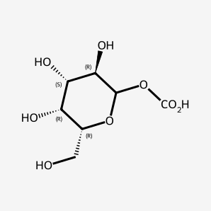 O=C(O)OC1O[C@H](CO)[C@H](O)[C@H](O)[C@H]1O